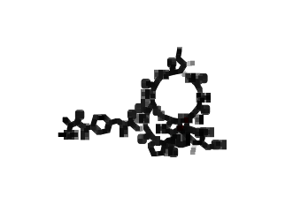 CC[C@H](C)[C@@H]1NC(=O)CNC(=O)[C@@H]2Cc3c([nH]c4ccccc34)SC[C@H](NC(=O)CNC1=O)C(=O)N[C@@H](CC(=O)NCc1ccc(NC(=O)[C@H](C)NC)cc1)C(=O)N1CCC[C@H]1C(=O)N[C@@H]([C@@H](C)[C@@H](O)CO)C(=O)N2